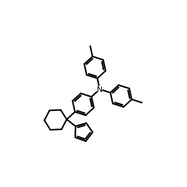 Cc1ccc(N(c2ccc(C)cc2)c2ccc(C3(C4=CC=C=C4)CCCCC3)cc2)cc1